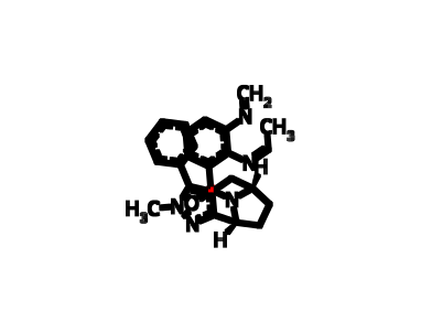 C=Nc1cccc(C(=O)N2[C@H]3CC[C@@H]2c2nn(C)c(-c4ccccc4)c2C3)c1/N=C\C